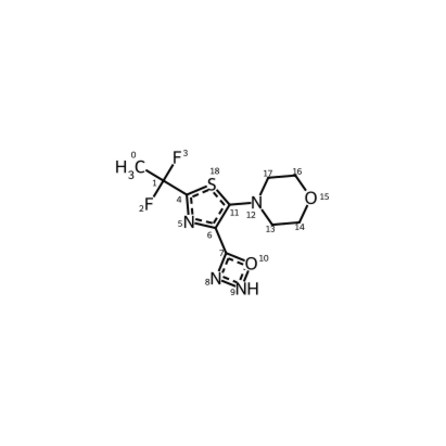 CC(F)(F)c1nc(-c2n[nH]o2)c(N2CCOCC2)s1